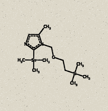 Cc1cn[c]([Sn]([CH3])([CH3])[CH3])n1COCC[Si](C)(C)C